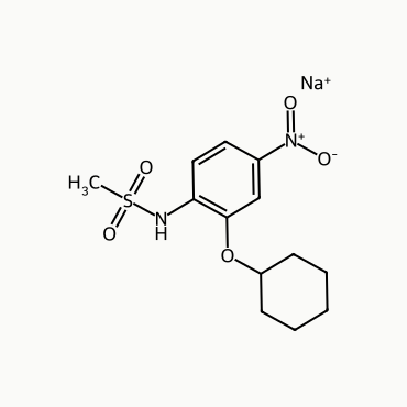 CS(=O)(=O)Nc1ccc([N+](=O)[O-])cc1OC1CCCCC1.[Na+]